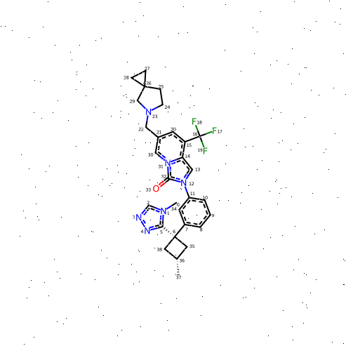 Cn1cnnc1[C@]1(c2cccc(-n3cc4c(C(F)(F)F)cc(CN5CCC6(CC6)C5)cn4c3=O)c2)C[C@H](C)C1